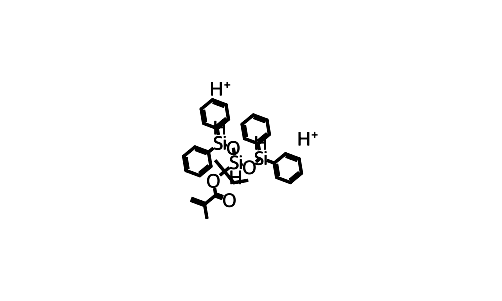 C=C(C)C(=O)OC(C)(CC)[SiH](O[SiH](c1ccccc1)c1ccccc1)O[SiH](c1ccccc1)c1ccccc1.[H+].[H+]